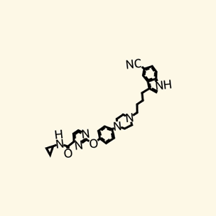 N#Cc1ccc2[nH]cc(CCCCN3CCN(c4ccc(Oc5nccc(C(=O)NC6CC6)n5)cc4)CC3)c2c1